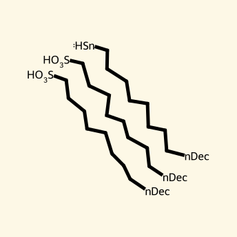 CCCCCCCCCCCCCCCCCCS(=O)(=O)O.CCCCCCCCCCCCCCCCCCS(=O)(=O)O.CCCCCCCCCCCCCCCCC[CH2][SnH]